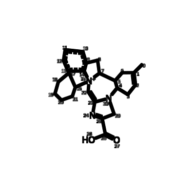 CC1=CCC2C(C1)C1Cc3ccccc3[N+]1(C1CCCCC1)C=C1N=C(C(=O)O)CN12